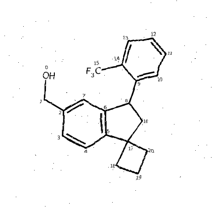 OCc1ccc2c(c1)C(c1ccccc1C(F)(F)F)CC21CCC1